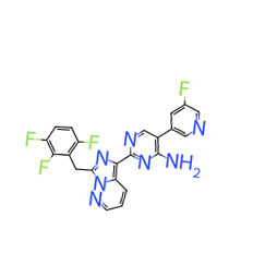 Nc1nc(-c2nc(Cc3c(F)ccc(F)c3F)n3ncccc23)ncc1-c1cncc(F)c1